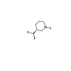 FC(F)[C@H]1CCCN(I)C1